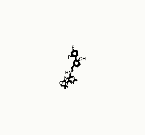 Cc1nc(NCCc2ccc(O)c(-c3ccc(F)cc3F)c2)c2nc3n(c2n1)C(C)(C)CO3